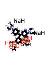 CCC(Oc1ccc(C(c2ccc(N(CC)CC)cc2)c2ccc(N(CC)CC)cc2)cc1OC(CC)S(=O)(=O)O)S(=O)(=O)O.[NaH].[NaH]